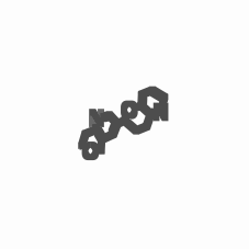 c1cnc2c(c1)OC(c1cnc3c(c1)COCC3)CC2